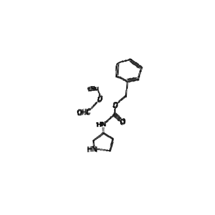 CC(C)(C)OC=O.O=C(N[C@@H]1CCNC1)OCc1ccccc1